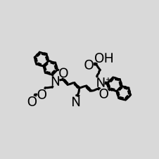 N#CC(=C\C=C1/Oc2cc3ccccc3cc2N1CCOC=O)/C=C/c1oc2c3ccccc3ccc2[n+]1CCC(=O)O